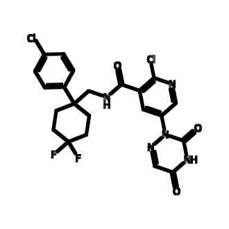 O=C(NCC1(c2ccc(Cl)cc2)CCC(F)(F)CC1)c1cc(-n2ncc(=O)[nH]c2=O)cnc1Cl